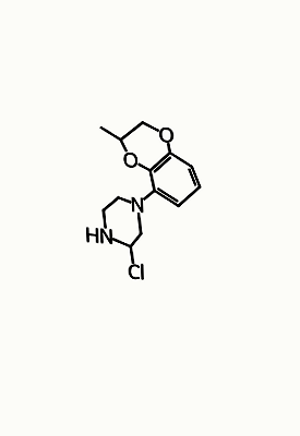 CC1COc2cccc(N3CCNC(Cl)C3)c2O1